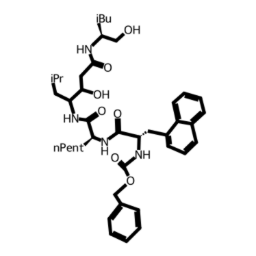 CCCCC[C@H](NC(=O)[C@H](Cc1cccc2ccccc12)NC(=O)OCc1ccccc1)C(=O)NC(CC(C)C)C(O)CC(=O)N[C@H](CO)C(C)CC